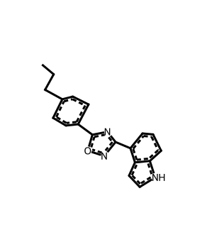 CCCc1ccc(-c2nc(-c3cccc4[nH]ccc34)no2)cc1